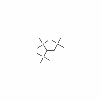 C[Si](C)(C)CC([Si](C)(C)C)[Si](C)(C)C